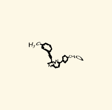 Cc1cccc(C#Cc2cnc3ccc(-c4ccc(C=O)cc4)nn23)c1